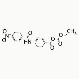 CCOC(=O)OC(=O)c1ccc(NC(=O)c2ccc([N+](=O)[O-])cc2)cc1